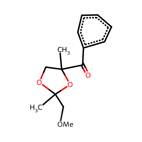 COCC1(C)OCC(C)(C(=O)c2ccccc2)O1